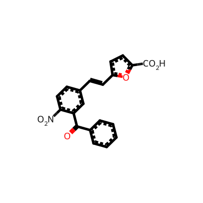 O=C(O)c1ccc(C=Cc2ccc([N+](=O)[O-])c(C(=O)c3ccccc3)c2)o1